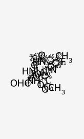 C/C=C1\C(=O)OCc2c1cc1n(c2=O)Cc2c-1nc1cc(F)c(C)c3c1c2C(NC(=O)C1(COCNC(=O)CNC=O)CCC1)CC3